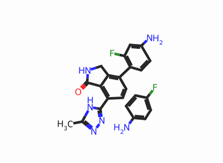 Cc1nnc(-c2ccc(-c3ccc(N)cc3F)c3c2C(=O)NC3)[nH]1.Nc1ccc(F)cc1